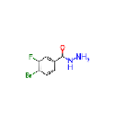 NNC(=O)c1ccc(Br)c(F)c1